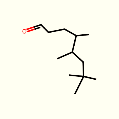 CC(CCC=O)C(C)CC(C)(C)C